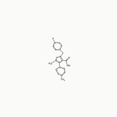 Cc1ccc(-c2c(C)cn(Cc3ccc(F)cc3)c2C(=O)O)cc1